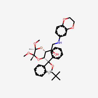 CO[C@@]1(C)O[C@H]([C@H](O)CNc2ccc3c(c2)OCCO3)[C@H](C(O[SiH2]C(C)(C)C)(c2ccccc2)c2ccccc2)O[C@]1(C)OC